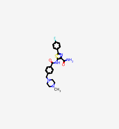 CN1CCN(Cc2ccc(C(=O)Nc3sc(-c4ccc(F)cc4)nc3C(N)=O)cc2)CC1